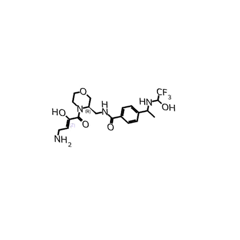 CC(NC(O)C(F)(F)F)c1ccc(C(=O)NC[C@@H]2COCCN2C(=O)/C(O)=C/CN)cc1